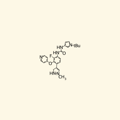 CN1C=C(c2ccc(NC(=O)Nc3ccn(C(C)(C)C)c3)c(F)c2Oc2ccncc2)CN1